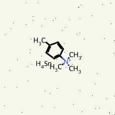 Cc1ccc([N+](C)(C)C)cc1.[SnH4]